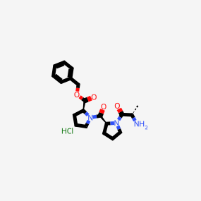 C[C@H](N)C(=O)N1CCC[C@H]1C(=O)N1CCC[C@H]1C(=O)OCc1ccccc1.Cl